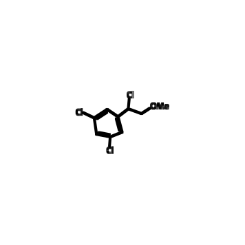 COCC(Cl)c1cc(Cl)cc(Cl)c1